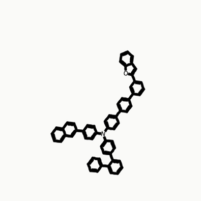 c1ccc(-c2ccccc2-c2ccc(N(c3ccc(-c4ccc(-c5cccc(-c6cc7ccccc7o6)c5)cc4)cc3)c3ccc(-c4ccc5ccccc5c4)cc3)cc2)cc1